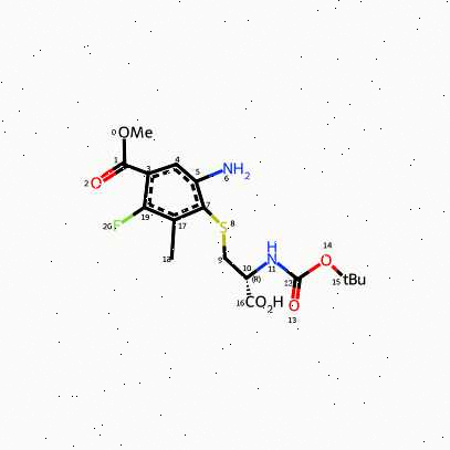 COC(=O)c1cc(N)c(SC[C@H](NC(=O)OC(C)(C)C)C(=O)O)c(C)c1F